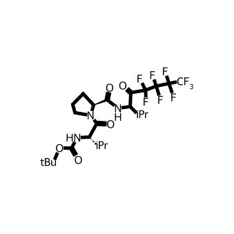 CC(C)C(NC(=O)[C@@H]1CCCN1C(=O)[C@@H](NC(=O)OC(C)(C)C)C(C)C)C(=O)C(F)(F)C(F)(F)C(F)(F)C(F)(F)F